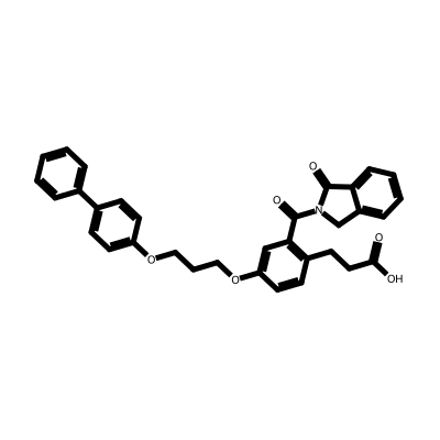 O=C(O)CCc1ccc(OCCCOc2ccc(-c3ccccc3)cc2)cc1C(=O)N1Cc2ccccc2C1=O